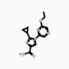 CCOc1cncc(-n2cc(C(N)=O)nc2C2CC2)n1